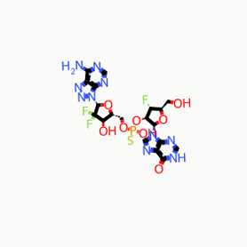 Nc1ncnc2c1nnn2[C@@H]1O[C@H](COP(O)(=S)O[C@@H]2[C@H](F)[C@@H](CO)O[C@H]2n2cnc3c(=O)[nH]cnc32)[C@@H](O)C1(F)F